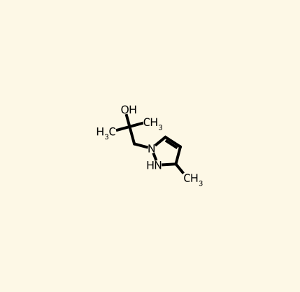 CC1C=CN(CC(C)(C)O)N1